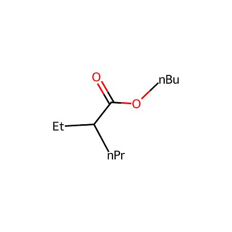 CCCCOC(=O)C(CC)CCC